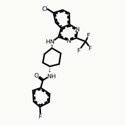 O=C(N[C@H]1CC[C@@H](Nc2nc(C(F)(F)F)nc3ccc(Cl)cc23)CC1)c1ccc(F)cc1